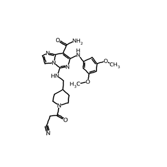 COc1cc(Nc2nc(NCC3CCN(C(=O)CC#N)CC3)n3ccnc3c2C(N)=O)cc(OC)c1